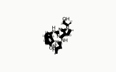 Cc1cc(Nc2nc(NC3C4CC5CC3CC(O)(C5)C4)nc3c2ccn3[C@H](C)CO)n[nH]1